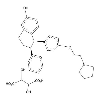 O=C(O)C(O)C(O)C(=O)O.Oc1ccc2c(c1)CC[C@H](c1ccccc1)[C@@H]2c1ccc(OCCN2CCCC2)cc1